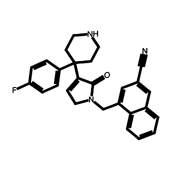 N#Cc1cc(CN2CC=C(C3(c4ccc(F)cc4)CCNCC3)C2=O)c2ccccc2c1